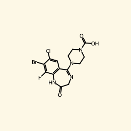 O=C1CN=C(N2CCN(C(=O)O)CC2)c2cc(Cl)c(Br)c(F)c2N1